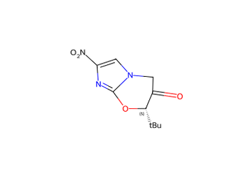 CC(C)(C)[C@@H]1Oc2nc([N+](=O)[O-])cn2CC1=O